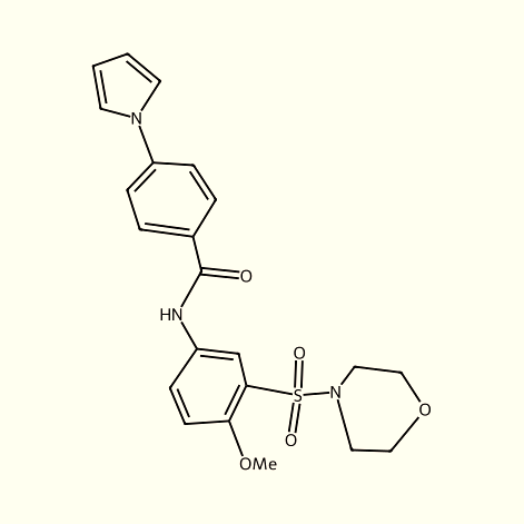 COc1ccc(NC(=O)c2ccc(-n3cccc3)cc2)cc1S(=O)(=O)N1CCOCC1